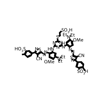 CCN(CC)c1cc(Nc2nc(Nc3cc(N(CC)CC)c(OC)cc3/N=N/c3snc(-c4ccc(C)c(S(=O)(=O)O)c4)c3C#N)nc(SCCS(=O)(=O)O)n2)c(/N=N/c2snc(-c3ccc(C)c(S(=O)(=O)O)c3)c2C#N)cc1OC